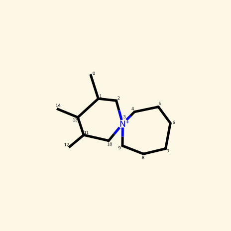 CC1C[N+]2(CCCCCC2)CC(C)C1C